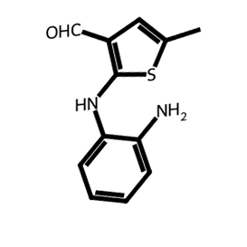 Cc1cc(C=O)c(Nc2ccccc2N)s1